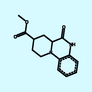 COC(=O)C1CCN2c3ccccc3NC(=O)C2C1